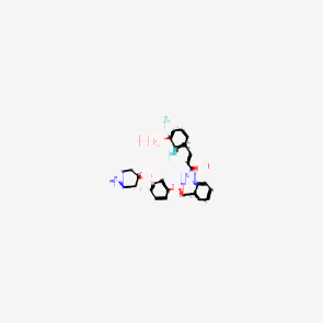 CN1CCC(Oc2cccc(OCc3ccccc3NC(=O)C=Cc3ccc(F)c(O)c3F)c2)CC1